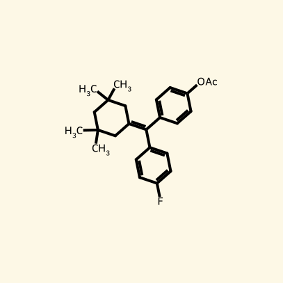 CC(=O)Oc1ccc(C(=C2CC(C)(C)CC(C)(C)C2)c2ccc(F)cc2)cc1